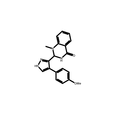 COc1ccc(-c2c[nH]nc2C2NC(=O)c3ccccc3N2C)cc1